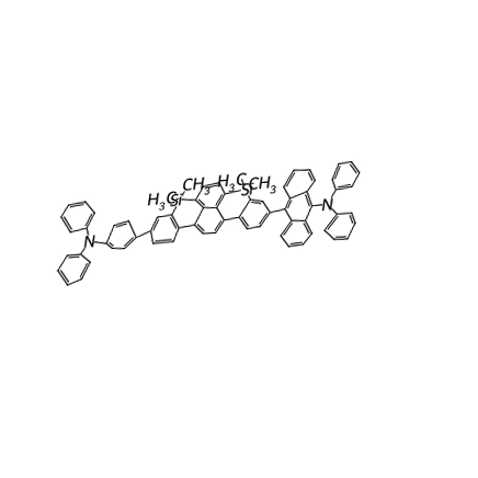 C[Si]1(C)c2cc(-c3ccc(N(c4ccccc4)c4ccccc4)cc3)ccc2-c2ccc3c4c(ccc1c24)[Si](C)(C)c1cc(-c2c4ccccc4c(N(c4ccccc4)c4ccccc4)c4ccccc24)ccc1-3